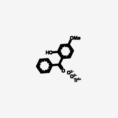 COc1ccc(C(=O)c2ccccc2)c(O)c1.[O-2].[O-2].[Ti+4]